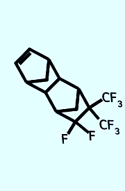 FC(F)(F)C1(C(F)(F)F)C2CC(C3C4C=CC(C4)C32)C1(F)F